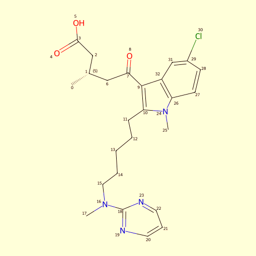 C[C@H](CC(=O)O)CC(=O)c1c(CCCCCN(C)c2ncccn2)n(C)c2ccc(Cl)cc12